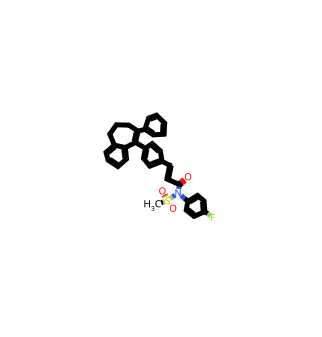 CS(=O)(=O)N(C(=O)C=Cc1ccc(C2=C(c3ccccc3)CCCc3ccccc32)cc1)c1ccc(F)cc1